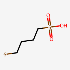 O=S(=O)(O)CCCC[S]